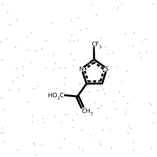 C=C(C(=O)O)c1csc(C(F)(F)F)n1